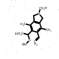 C=Cc1c(C)c2c(c(C)c1C(OC(C)(C)C)C(=O)OCC)CN(C(=O)O)C2